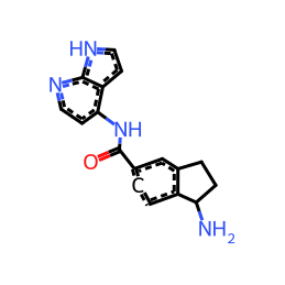 NC1CCc2cc(C(=O)Nc3ccnc4[nH]ccc34)ccc21